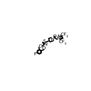 O=C(Cn1nc(C(F)(F)F)cc1C(F)(F)F)N1CCC(c2nc(C3OCc4ccc(F)cc4CO3)cs2)CC1